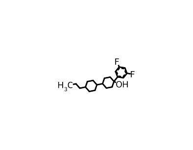 CCCC1CCC(C2CCC(O)(c3cc(F)cc(F)c3)CC2)CC1